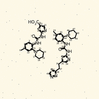 Cc1ccc(NC(=O)Nc2ncc(C(=O)O)s2)c(N2CCCCC2)c1.Cc1ccc(NC(=O)Nc2ncc(CCc3nncs3)s2)c(N2CCCCC2)c1